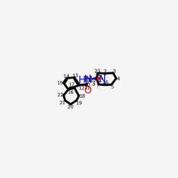 CN1C2CCCC1CC(NC(=O)c1cccc3c1CCCCC3)C2